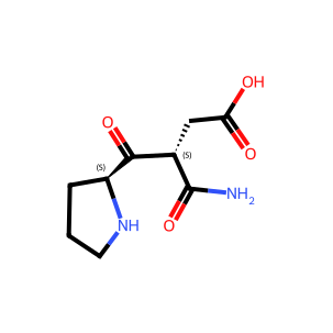 NC(=O)[C@@H](CC(=O)O)C(=O)[C@@H]1CCCN1